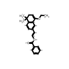 CCSC1=CCC(C)(C)c2ccc(C=COC(=O)c3ccccc3)cc21